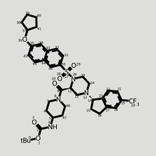 CC(C)(C)OC(=O)NC1CCN(C(=O)[C@@H]2CN([C@H]3CCc4cc(C(F)(F)F)ccc43)CCN2S(=O)(=O)c2ccc3cc(OC4CCCC4)ccc3c2)CC1